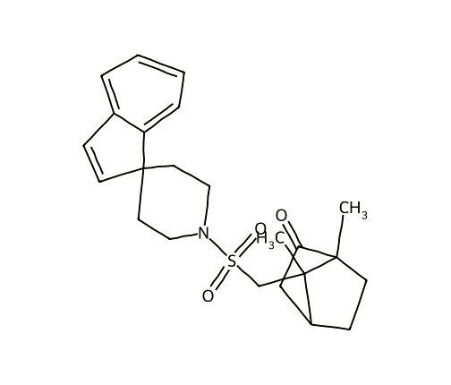 CC12CCC(CC1=O)C2(C)CS(=O)(=O)N1CCC2(C=Cc3ccccc32)CC1